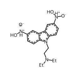 CCN(CC)CCn1c2ccc([NH+]([O-])O)cc2c2cc([NH+]([O-])O)ccc21